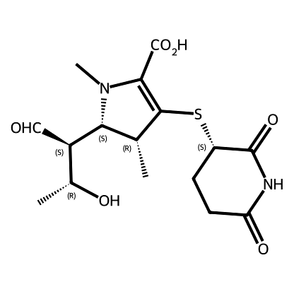 C[C@@H](O)[C@@H](C=O)[C@H]1[C@@H](C)C(S[C@H]2CCC(=O)NC2=O)=C(C(=O)O)N1C